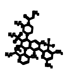 C=CC(=O)N1CCN(c2c(S(C)(=O)=O)c(=O)n(-c3c(C)ccnc3C(C)C)c3c(F)c(-c4nc(N)cc(C)c4C(F)(F)F)c(Cl)cc23)C[C@H]1C